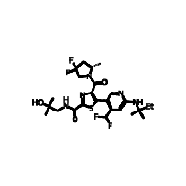 CCC(C)(C)Nc1cc(C(F)F)c(-c2sc(C(=O)NCC(C)(C)O)nc2C(=O)N2CC(F)(F)C[C@@H]2C)cn1